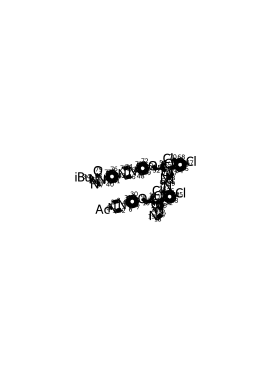 CC(=O)N1CCN(c2ccc(OCC3COC(Cn4ccnc4)(c4ccc(Cl)cc4Cl)O3)cc2)CC1.CCC(C)n1ncn(-c2ccc(N3CCN(c4ccc(OC[C@H]5CO[C@](Cn6cncn6)(c6ccc(Cl)cc6Cl)O5)cc4)CC3)cc2)c1=O